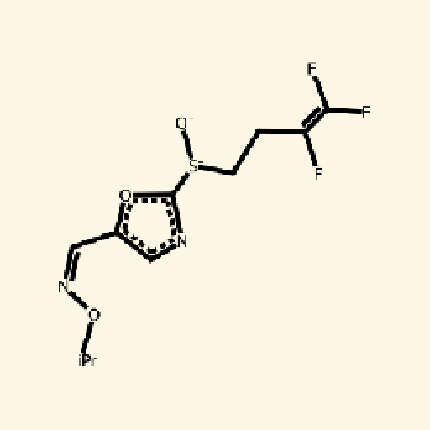 CC(C)O/N=C\c1cnc([S+]([O-])CCC(F)=C(F)F)o1